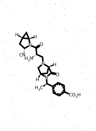 C[C@H](c1ccc(C(=O)O)cc1)N1C(=O)[C@@H]2C[C@H]1CN2C[C@H](N)C(=O)N1[C@H](C#N)C[C@@H]2C[C@@H]21